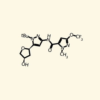 Cn1nc(OC(F)(F)F)cc1C(=O)Nc1cc([C@H]2C[C@@H](O)CO2)n(C(C)(C)C)n1